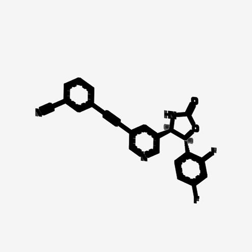 N#Cc1cccc(C#Cc2cncc([C@H]3NC(=O)O[C@@H]3c3ccc(F)cc3F)c2)c1